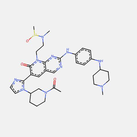 CC(=O)N1CCCC(n2ccnc2-c2cc3cnc(Nc4ccc(NC5CCN(C)CC5)cc4)nc3n(CCN(C)[S+](C)[O-])c2=O)C1